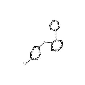 Cc1ccc(Sc2ccccc2-c2ccccc2)cc1